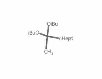 CCCCCCCC(C)(OCC(C)C)OCC(C)C